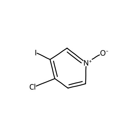 [O-][n+]1ccc(Cl)c(I)c1